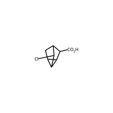 O=C(O)C1C2CC3C(C2Cl)C31